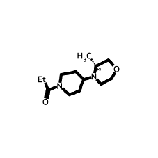 CCC(=O)N1CCC(N2CCOC[C@H]2C)CC1